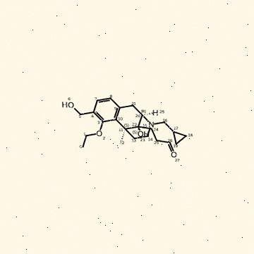 CCOc1c(CO)ccc2c1[C@]1(C)CCN(CC3CC3)[C@H](C2)[C@]1(O)CCC=O